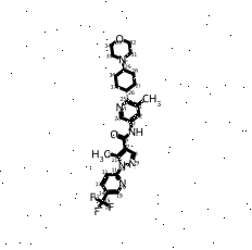 Cc1cc(NC(=O)c2cnn(-c3ccc(C(F)(F)F)cn3)c2C)cnc1[C@H]1CC[C@H](N2CCOCC2)CC1